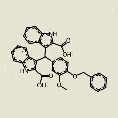 COc1cc(C(c2c(C(=O)O)[nH]c3ccccc23)c2c(C(=O)O)[nH]c3ccccc23)ccc1OCc1ccccc1